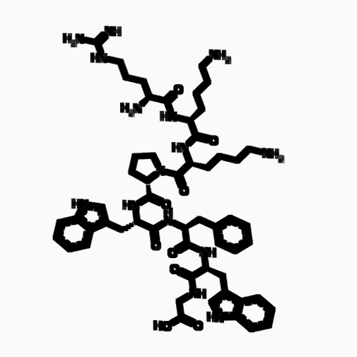 N=C(N)NCCC[C@H](N)C(=O)N[C@@H](CCCCN)C(=O)N[C@@H](CCCCN)C(=O)N1CCC[C@H]1C(=O)N[C@@H](Cc1c[nH]c2ccccc12)C(=O)N[C@@H](Cc1ccccc1)C(=O)N[C@@H](Cc1c[nH]c2ccccc12)C(=O)NCC(=O)O